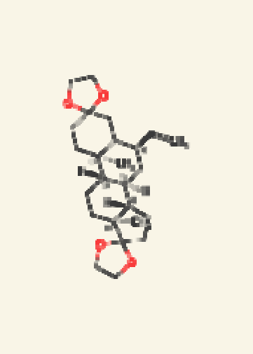 C=C[C@H]1C[C@@H]2[C@H](CC[C@@]3(C)[C@H]2CCC32OCCO2)[C@@]2(C)CCC3(CC12)OCCO3